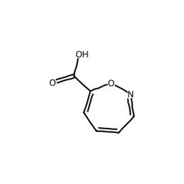 O=C(O)C1=CC=CC=NO1